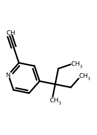 C#Cc1cc(C(C)(CC)CC)ccn1